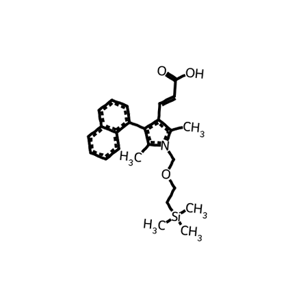 Cc1c(C=CC(=O)O)c(-c2cccc3ccccc23)c(C)n1COCC[Si](C)(C)C